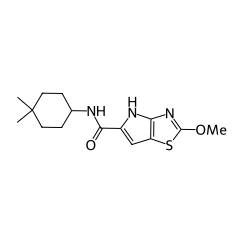 COc1nc2[nH]c(C(=O)NC3CCC(C)(C)CC3)cc2s1